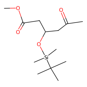 COC(=O)CC(CC(C)=O)O[Si](C)(C)C(C)(C)C